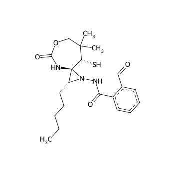 CCCCC[C@H]1N(NC(=O)c2ccccc2C=O)[C@]12NC(=O)OCC(C)(C)[C@@H]2S